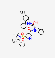 COc1cccc(C2(NC[C@@H](O)[C@H](Cc3ccccc3)NC(=O)c3cncc(S(=O)(=O)N(C)[C@H](C)c4ccccc4)c3)CCCCC2)c1